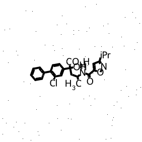 CC(CC(O)(C(=O)O)c1ccc(-c2ccccc2)c(Cl)c1)NC(=O)c1cc(C(C)C)no1